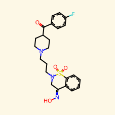 O=C(c1ccc(F)cc1)C1CCN(CCCN2CC(=NO)c3ccccc3S2(=O)=O)CC1